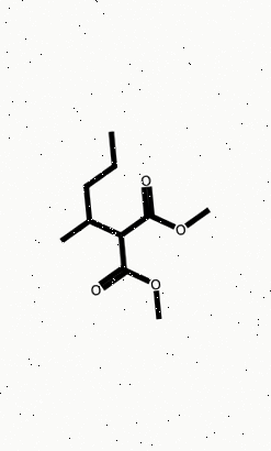 CCCC(C)C(C(=O)OC)C(=O)OC